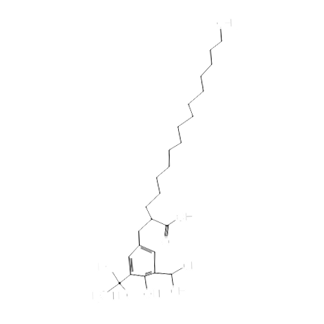 CCCCCCCCCCCCCCCC(Cc1cc(C(C)C)c(O)c(C(C)(C)C)c1)C(=O)O